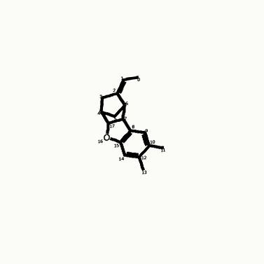 CC=C1CC2CC1C1c3cc(C)c(C)cc3OC21